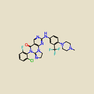 CN1CCN(c2ccc(Nc3ncc4c(n3)N3CCN=C3N(c3c(F)cccc3Cl)C4=O)cc2C(F)(F)F)CC1